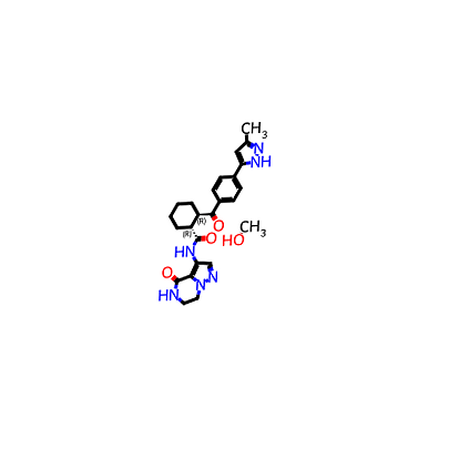 CO.Cc1cc(-c2ccc(C(=O)[C@@H]3CCCC[C@H]3C(=O)Nc3cnn4c3C(=O)NCC4)cc2)[nH]n1